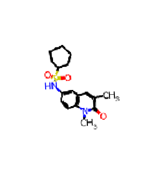 Cc1cc2cc(NS(=O)(=O)C3CCCCC3)ccc2n(C)c1=O